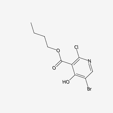 CCCCOC(=O)c1c(Cl)ncc(Br)c1O